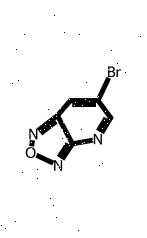 Brc1cnc2nonc2c1